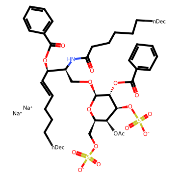 CCCCCCCCCCCCC/C=C/[C@@H](OC(=O)c1ccccc1)[C@H](CO[C@@H]1O[C@H](COS(=O)(=O)[O-])[C@H](OC(C)=O)[C@H](OS(=O)(=O)[O-])[C@H]1OC(=O)c1ccccc1)NC(=O)CCCCCCCCCCCCCCC.[Na+].[Na+]